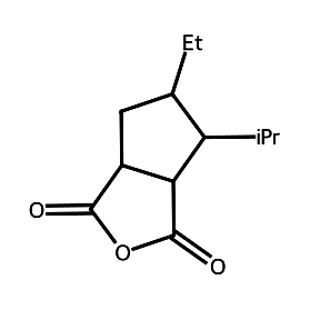 CCC1CC2C(=O)OC(=O)C2C1C(C)C